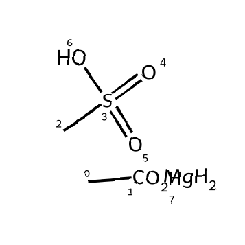 CC(=O)O.CS(=O)(=O)O.[MgH2]